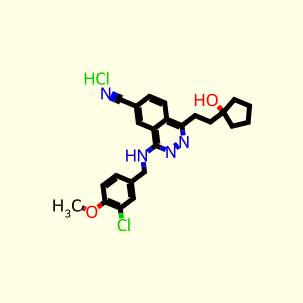 COc1ccc(CNc2nnc(CCC3(O)CCCC3)c3ccc(C#N)cc23)cc1Cl.Cl